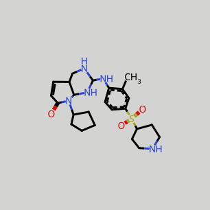 Cc1cc(S(=O)(=O)C2CCNCC2)ccc1NC1NCC2C=CC(=O)N(C3CCCC3)C2N1